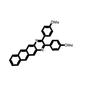 COc1ccc(-c2nc3cc4cc5ccccc5cc4cc3nc2-c2ccc(OC)cc2)cc1